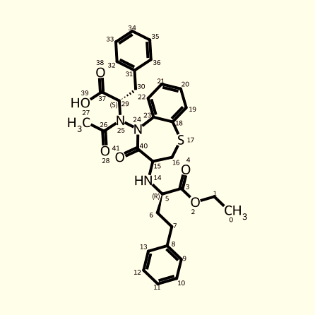 CCOC(=O)[C@@H](CCc1ccccc1)NC1CSc2ccccc2N(N(C(C)=O)[C@@H](Cc2ccccc2)C(=O)O)C1=O